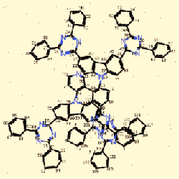 c1ccc(-c2nc(-c3ccccc3)nc(-c3ccc(-n4c5ccc(-c6nc(-c7ccccc7)nc(-c7ccccc7)n6)cc5c5cc(-c6nc(-c7ccccc7)nc(-c7ccccc7)n6)ccc54)c(-c4cnccc4-n4c5ccc(-c6nc(-c7ccccc7)nc(-c7ccccc7)n6)cc5c5cc(-c6nc(-c7ccccc7)nc(-c7ccccc7)n6)ccc54)c3)n2)cc1